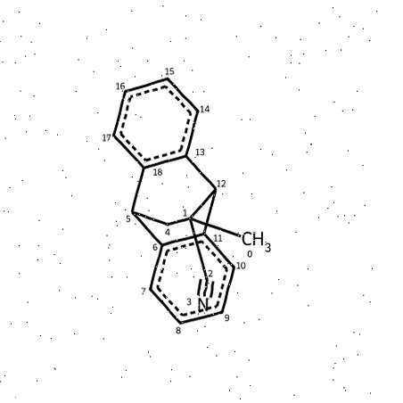 CC1(C#N)CC2c3ccccc3C1c1ccccc12